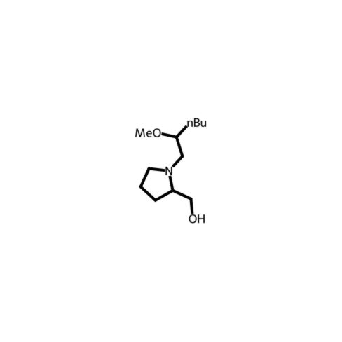 CCCCC(CN1CCCC1CO)OC